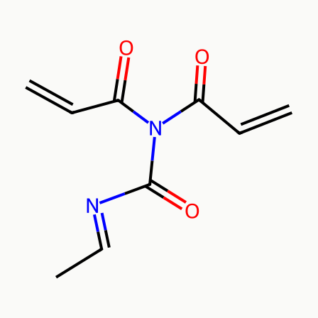 C=CC(=O)N(C(=O)C=C)C(=O)N=CC